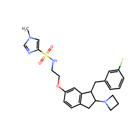 Cn1cnc(S(=O)(=O)NCCOc2ccc3c(c2)C(Cc2cccc(F)c2)C(N2CCC2)C3)c1